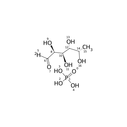 O=P(O)(O)O.[2H]C(=O)[C@@H](O)[C@H](O)[C@H](O)[C@H](C)O